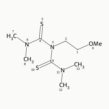 COCCN(C(=S)N(C)C)C(=S)N(C)C